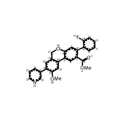 COC(=O)c1cc2c(cc1-c1ccccc1F)OCc1cc(-c3cccnc3)c(OC)cc1-2